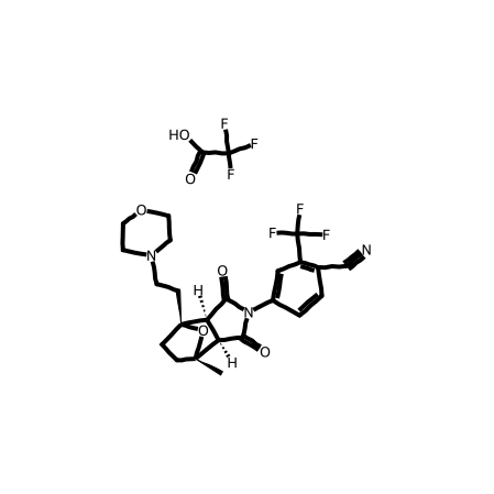 C[C@@]12CC[C@@](CCN3CCOCC3)(O1)[C@H]1C(=O)N(c3ccc(C#N)c(C(F)(F)F)c3)C(=O)[C@H]12.O=C(O)C(F)(F)F